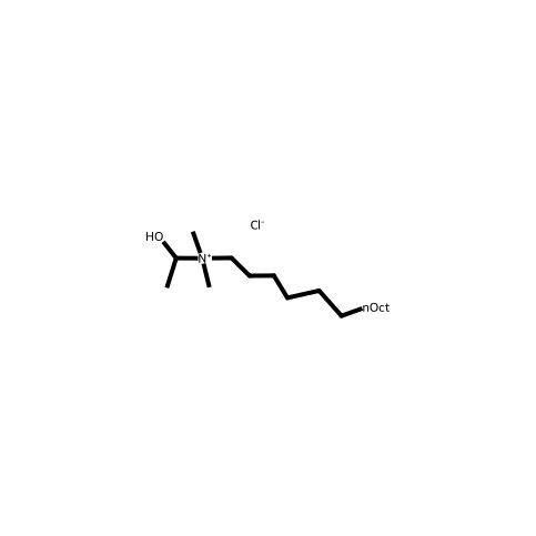 CCCCCCCCCCCCCC[N+](C)(C)C(C)O.[Cl-]